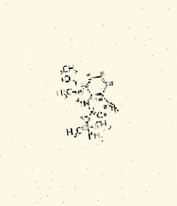 COC[C@@]1(C)CN(C(=O)OC(C)(C)C)c2c(C#N)cccc21